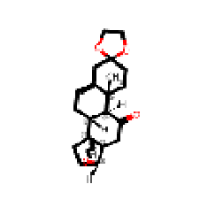 C[C@]12CCC3(CC1=CC[C@H]1[C@@H]4CC[C@@H]5OCCCC[C@@]54CC(=O)[C@@H]12)OCCO3